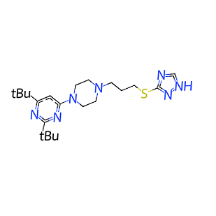 CC(C)(C)c1cc(N2CCN(CCCSc3nc[nH]n3)CC2)nc(C(C)(C)C)n1